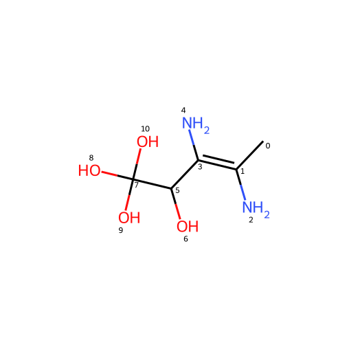 CC(N)=C(N)C(O)C(O)(O)O